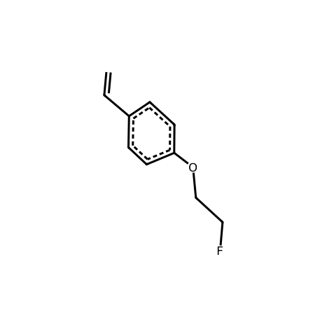 C=Cc1ccc(OCCF)cc1